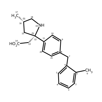 Cc1ccccc1Cc1ccc([C@@]2(CC(=O)O)C[C@H](C)CN2)cc1